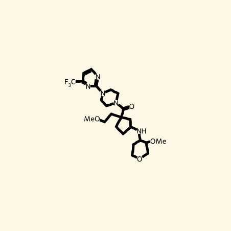 COCCC1(C(=O)N2CCN(c3nccc(C(F)(F)F)n3)CC2)CCC(NC2CCOCC2OC)C1